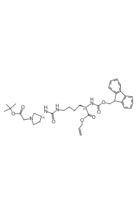 C=CCOC(=O)[C@@H](CCCCNC(=O)N[C@@H]1CCN(CC(=O)OC(C)(C)C)C1)NC(=O)OCC1c2ccccc2-c2ccccc21